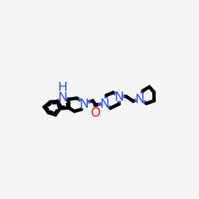 O=C(CN1CCc2c([nH]c3ccccc23)C1)N1CCN(CCN2CCCCC2)CC1